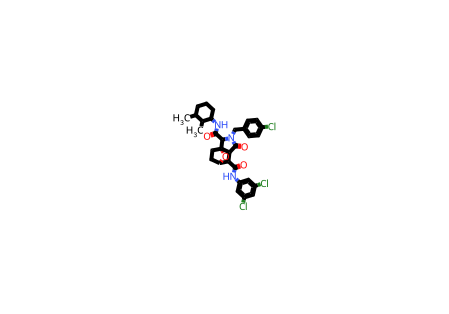 CC1CCCC(NC(=O)C2N(Cc3ccc(Cl)cc3)C(=O)C3C(C(=O)Nc4cc(Cl)cc(Cl)c4)C4CCC32O4)C1C